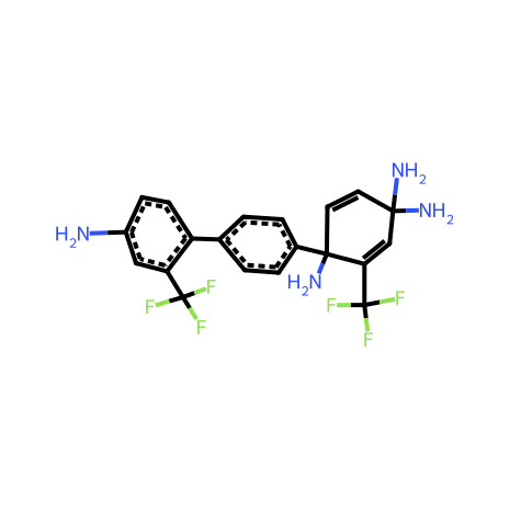 Nc1ccc(-c2ccc(C3(N)C=CC(N)(N)C=C3C(F)(F)F)cc2)c(C(F)(F)F)c1